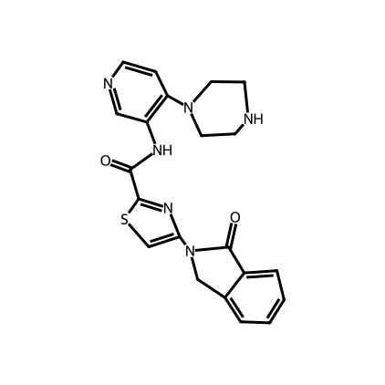 O=C(Nc1cnccc1N1CCNCC1)c1nc(N2Cc3ccccc3C2=O)cs1